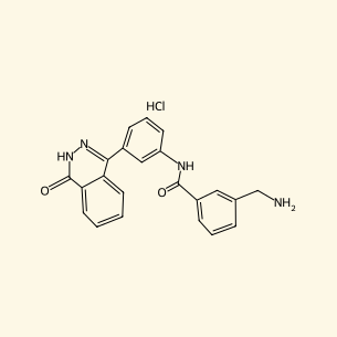 Cl.NCc1cccc(C(=O)Nc2cccc(-c3n[nH]c(=O)c4ccccc34)c2)c1